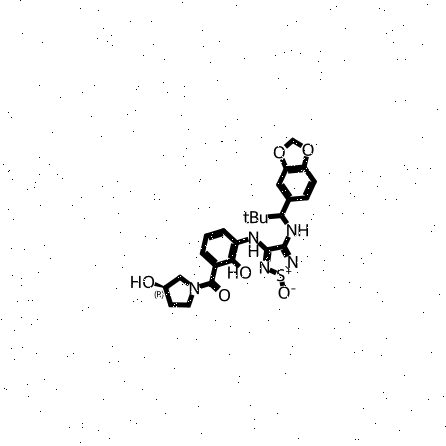 CC(C)(C)C(Nc1n[s+]([O-])nc1Nc1cccc(C(=O)N2CC[C@@H](O)C2)c1O)c1ccc2c(c1)OCO2